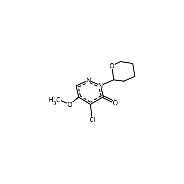 COc1cnn(C2CCCCO2)c(=O)c1Cl